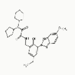 CCc1cc(CNC(=O)C(=O)N(C2CCCCC2)C2CCCC2)c(O)c(-n2nc3ccc(OC)cc3n2)c1